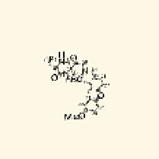 CCCCN1C(=O)[C@H](CC(C)C)NC(=O)C12CCN(Cc1ccc(Oc3ccc(OC)cc3)cc1)CC2